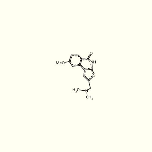 COc1ccc2c(=O)[nH]c3sc(CN(C)C)cc3c2c1